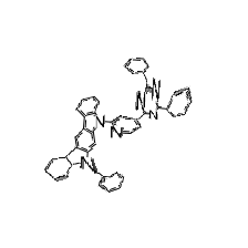 C1=CC2c3cc4c5ccccc5n(-c5cc(-c6nc(-c7ccccc7)nc(-c7ccccc7)n6)ccn5)c4cc3N(c3ccccc3)C2C=C1